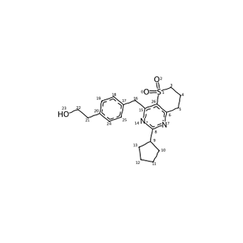 O=S1(=O)CCCc2nc(C3CCCC3)nc(Cc3ccc(CCO)cc3)c21